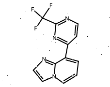 FC(F)(F)c1nccc(-c2cccn3ccnc23)n1